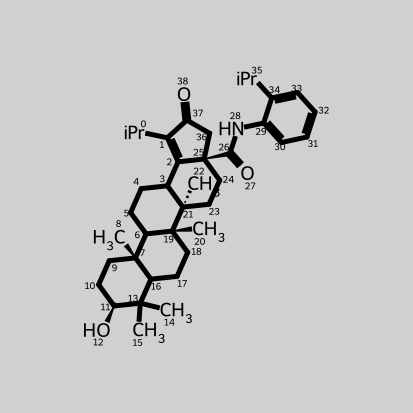 CC(C)C1=C2C3CCC4[C@@]5(C)CC[C@H](O)C(C)(C)C5CC[C@@]4(C)[C@]3(C)CC[C@@]2(C(=O)Nc2ccccc2C(C)C)CC1=O